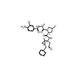 C[C@H](NC(=O)c1ccc(N)c(Cl)c1)C(=O)N1CC(F)C[C@H]1C(=O)N[C@@H](CC=O)C1(C)C[C@@H]1Cc1ccccc1